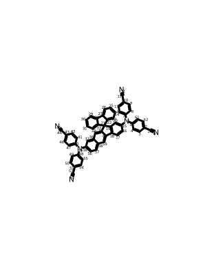 N#Cc1ccc(N(c2ccc(C#N)cc2)c2ccc3c(c2)C2(c4ccccc4-c4ccccc42)c2cc4cc(N(c5ccc(C#N)cc5)c5ccc(C#N)cc5)ccc4cc2-3)cc1